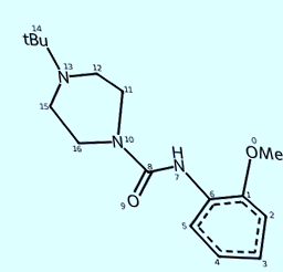 COc1ccccc1NC(=O)N1CCN(C(C)(C)C)CC1